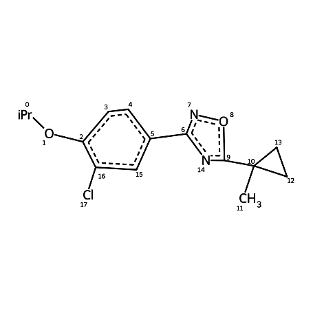 CC(C)Oc1ccc(-c2noc(C3(C)CC3)n2)cc1Cl